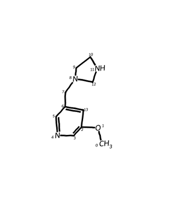 COc1cncc(CN2CCNC2)c1